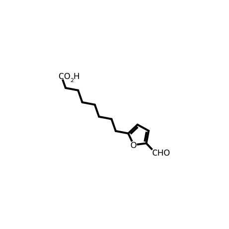 O=Cc1ccc(CCCCCCCC(=O)O)o1